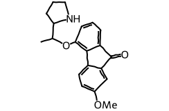 COc1ccc2c(c1)C(=O)c1cccc(OC(C)C3CCCN3)c1-2